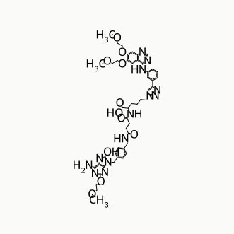 COCCOc1nc(N)c2nc(O)n(Cc3ccc(CNC(=O)CCC(=O)NC(CCCCn4cc(-c5cccc(Nc6ncnc7cc(OCCOC)c(OCCOC)cc67)c5)nn4)C(=O)O)cc3)c2n1